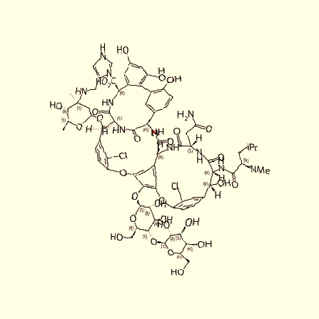 CN[C@H](CC(C)C)C(=O)N[C@H]1C(=O)N[C@@H](CC(N)=O)C(=O)N[C@H]2C(=O)N[C@H]3C(=O)N[C@H](C(=O)N[C@@H](C(=O)O)c4cc(O)cc(O)c4-c4cc3ccc4O)[C@H](OC3C[C@](C)(NCc4c[nH]cn4)[C@@H](O)[C@H](C)O3)c3ccc(c(Cl)c3)Oc3cc2cc(c3O[C@@H]2O[C@H](CO)[C@@H](O[C@@H]3O[C@H](CO)[C@H](O)[C@H](O)[C@H]3O)[C@H](O)[C@H]2O)Oc2ccc(cc2Cl)[C@H]1O